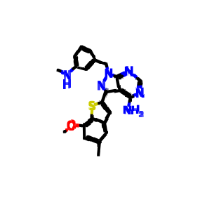 CNc1cccc(Cn2nc(-c3cc4cc(C)cc(OC)c4s3)c3c(N)ncnc32)c1